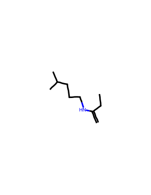 C=C(CC)NCCCC(C)C